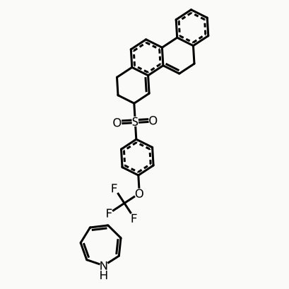 C1=CC=CNC=C1.O=S(=O)(c1ccc(OC(F)(F)F)cc1)C1C=c2c(ccc3c2=CCc2ccccc2-3)CC1